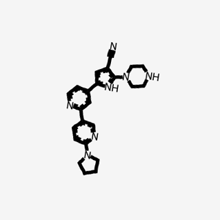 N#Cc1cc(-c2ccnc(-c3ccc(N4CCCC4)nc3)c2)[nH]c1N1CCNCC1